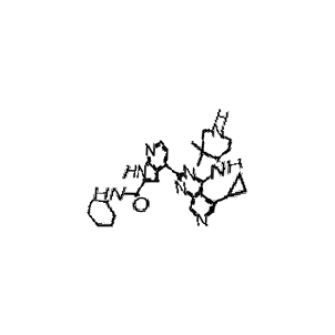 CC1(C)CNCCC1Nc1nc(-c2ccnc3[nH]c(C(=O)NC4CCCCC4)cc23)nc2cncc(C3CC3)c12